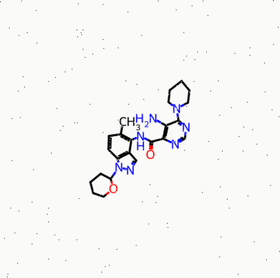 Cc1ccc2c(cnn2C2CCCCO2)c1NC(=O)c1ncnc(N2CCCCC2)c1N